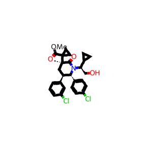 COC(=O)C1([C@]2(C)C[C@H](c3cccc(Cl)c3)[C@@H](c3ccc(Cl)cc3)N([C@H](CO)C3CC3)C2=O)CC1